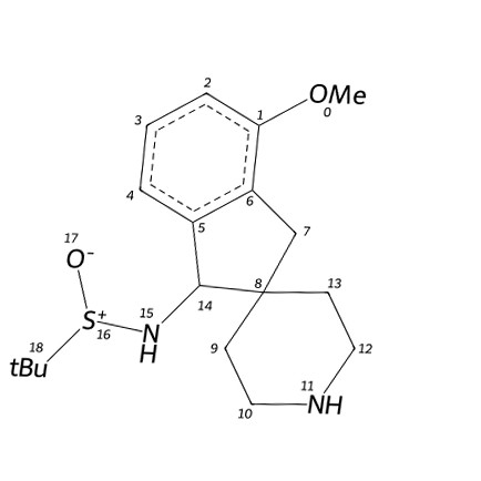 COc1cccc2c1CC1(CCNCC1)C2N[S+]([O-])C(C)(C)C